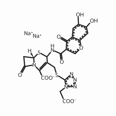 O=C([O-])Cn1nnnc1SCC1=C(C(=O)[O-])N2C(=O)C[C@@H]2SC1NC(=O)c1coc2cc(O)c(O)cc2c1=O.[Na+].[Na+]